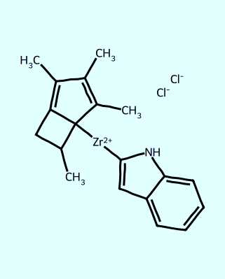 CC1=C(C)[C]2([Zr+2][c]3cc4ccccc4[nH]3)C(=C1C)CC2C.[Cl-].[Cl-]